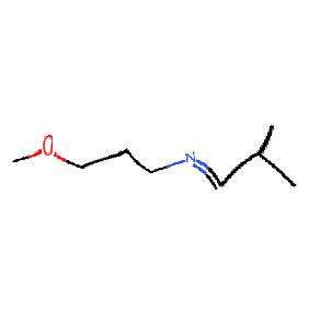 COCCCN=CC(C)C